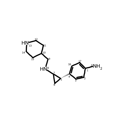 Nc1ccc([C@@H]2CC2NCC2CCNCC2)cc1